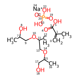 C=C(C)C(=O)O.CC(O)COC(C)COC(C)CO.O=P([O-])(O)O.[Na+]